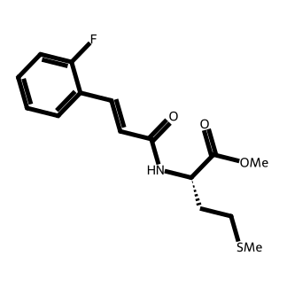 COC(=O)[C@H](CCSC)NC(=O)C=Cc1ccccc1F